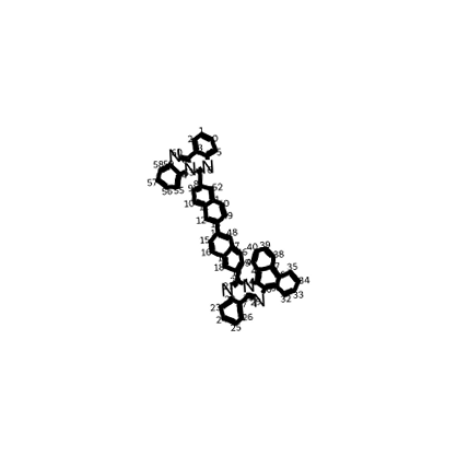 c1ccc2c(c1)nc(-c1ccc3cc(-c4ccc5cc(-c6nc7ccccc7c7nc8c9ccccc9c9ccccc9c8n67)ccc5c4)ccc3c1)n1c3ccccc3nc21